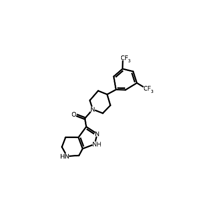 O=C(c1n[nH]c2c1CCNC2)N1CCC(c2cc(C(F)(F)F)cc(C(F)(F)F)c2)CC1